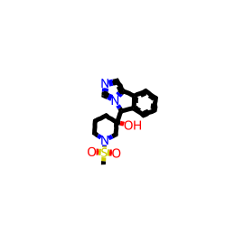 CS(=O)(=O)N1CCCC(O)(C2c3ccccc3-c3cncn32)C1